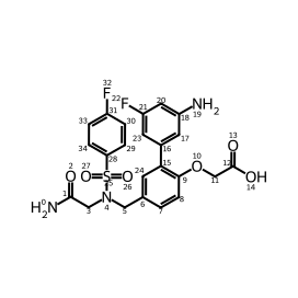 NC(=O)CN(Cc1ccc(OCC(=O)O)c(-c2cc(N)cc(F)c2)c1)S(=O)(=O)c1ccc(F)cc1